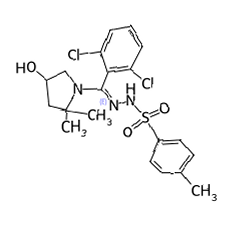 Cc1ccc(S(=O)(=O)N/N=C(\c2c(Cl)cccc2Cl)N2CC(O)CC2(C)C)cc1